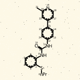 CCCSc1ccccc1NC(=O)Nc1ccc(-c2ccnc(C)c2)cc1